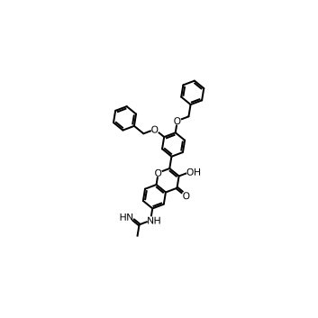 CC(=N)Nc1ccc2oc(-c3ccc(OCc4ccccc4)c(OCc4ccccc4)c3)c(O)c(=O)c2c1